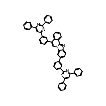 c1ccc(-c2cc(-c3cccc(-c4cn5c6cc(-c7cccc(-c8nc(-c9ccccc9)cc(-c9ccccc9)n8)c7)ccc6nc5c5ccccc45)c3)nc(-c3ccccc3)n2)cc1